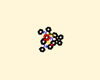 Sc1cccc2c1N1c3c(C4c5ccccc5N(c5ccccc5)c5ccccc54)cccc3C(c3ccccc3)(c3ccccc3)c3cccc(c31)S21c2ccccc2N(c2ccccc2)c2ccccc21